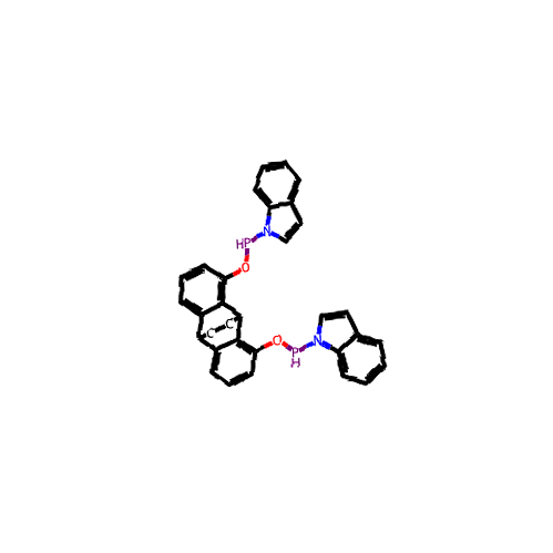 c1cc(OPn2ccc3ccccc32)c2c(c1)C1CCC2c2c(OPn3ccc4ccccc43)cccc21